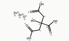 O=C(O)CC(O)(CC(=O)O)C(=O)O.[O-2].[Zn+2].[Zn+2]